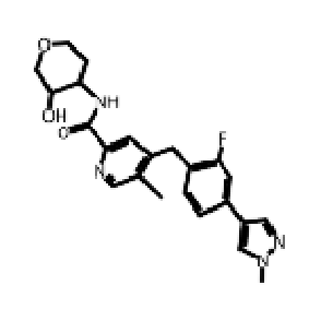 Cc1cnc(C(=O)NC2CCOCC2O)cc1Cc1ccc(-c2cnn(C)c2)cc1F